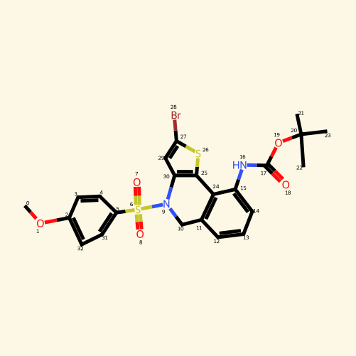 COc1ccc(S(=O)(=O)N2Cc3cccc(NC(=O)OC(C)(C)C)c3-c3sc(Br)cc32)cc1